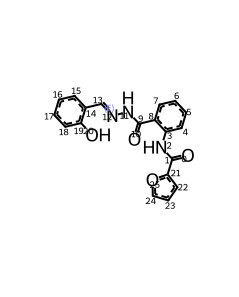 O=C(Nc1ccccc1C(=O)N/N=C/c1ccccc1O)c1ccco1